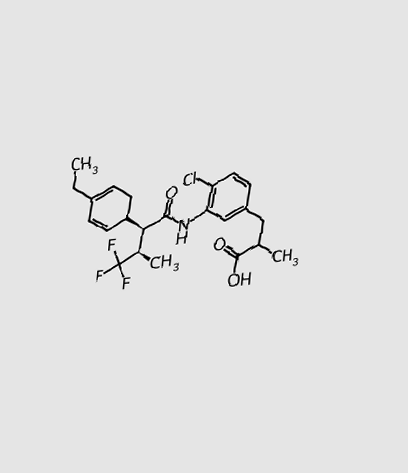 CCC1=CCC([C@@H](C(=O)Nc2cc(CC(C)C(=O)O)ccc2Cl)[C@@H](C)C(F)(F)F)C=C1